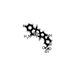 CCS(=O)(=O)c1cc2c3c([nH]c2cn1)C[C@@](O)(CC(C)(C)c1ccc(F)cc1C(N)=O)C3(F)F